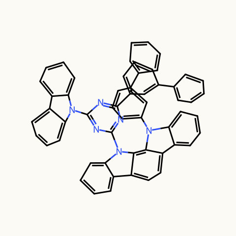 c1ccc(-c2cccc(-c3nc(-n4c5ccccc5c5ccccc54)nc(-n4c5ccccc5c5ccc6c7ccccc7n(-c7cccc(-c8ccccc8)c7)c6c54)n3)c2)cc1